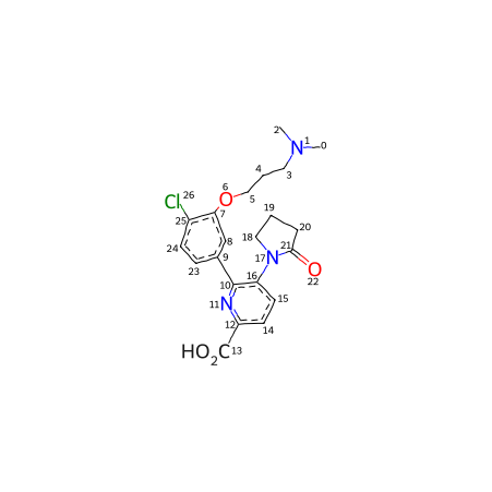 CN(C)CCCOc1cc(-c2nc(C(=O)O)ccc2N2CCCC2=O)ccc1Cl